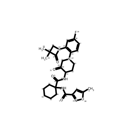 Cc1cc(C(=O)NC2(C(=O)NC3CCN(c4ccc(F)cc4N4CC(C)(C)C4=O)CC3=O)CCCCC2)no1